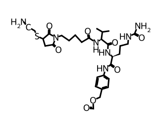 CC(C)[C@H](NC(=O)CCCCN1C(=O)CC(SCCN)C1=O)C(=O)N[C@@H](CCCNC(N)=O)C(=O)Nc1ccc(COC=O)cc1